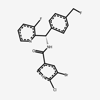 O=C(N[C@@H](c1ccc(CF)cc1)c1ncccc1F)c1cnc(Cl)c(Br)c1